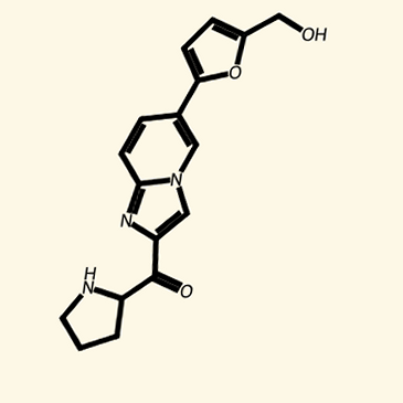 O=C(c1cn2cc(-c3ccc(CO)o3)ccc2n1)C1CCCN1